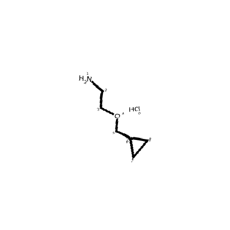 Cl.NCCOCC1CC1